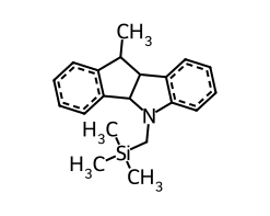 CC1c2ccccc2C2C1c1ccccc1N2C[Si](C)(C)C